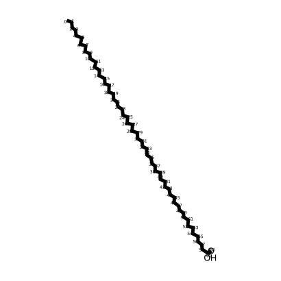 CCCCCCCCCCCCCCCCCCCCCCCCCCCCCCCCCCCCCCCCCCCCCCCCCCCCCCCCCCCC(=O)O